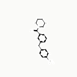 Nc1ccc(Cc2cccc(C(=O)N3CCCCC3)c2)cc1